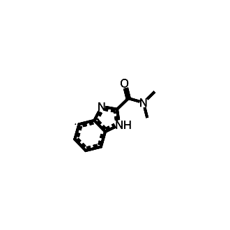 CN(C)C(=O)c1nc2[c]cccc2[nH]1